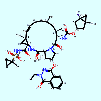 CCn1nc(O[C@@H]2C[C@H]3C(=O)N[C@]4(C(=O)NS(=O)(=O)C5(C)CC5)C[C@H]4/C=C\CC[C@@H](C)C[C@@H](C)[C@H](NC(=O)O[C@H]4C[C@H]5C[C@@]5(I)C4)C(=O)N3C2)c2ccccc2c1=O